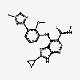 CNC(=O)c1nnc2[nH]c(C3CC3)nc2c1Nc1cccc(-c2ncn(C)n2)c1OC